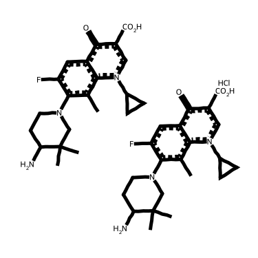 Cc1c(N2CCC(N)C(C)(C)C2)c(F)cc2c(=O)c(C(=O)O)cn(C3CC3)c12.Cc1c(N2CCC(N)C(C)(C)C2)c(F)cc2c(=O)c(C(=O)O)cn(C3CC3)c12.Cl